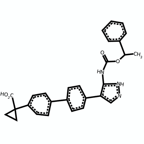 CC(OC(=O)Nc1[nH]ncc1-c1ccc(-c2ccc(C3(C(=O)O)CC3)cc2)cc1)c1ccccc1